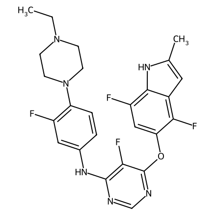 CCN1CCN(c2ccc(Nc3ncnc(Oc4cc(F)c5[nH]c(C)cc5c4F)c3F)cc2F)CC1